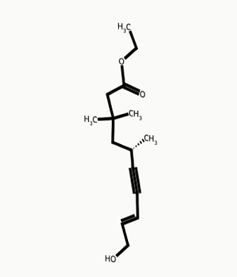 CCOC(=O)CC(C)(C)C[C@H](C)C#C/C=C/CO